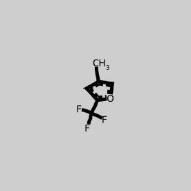 Cc1[c]c(C(F)(F)F)oc1